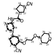 N#Cc1ccc(-n2cnc(NC(=O)[C@H]3CCN(C#N)C3)c2)cc1OCCON1CCOCC1